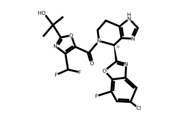 CC(C)(O)c1nc(C(F)F)c(C(=O)N2CCc3[nH]cnc3[C@H]2c2nc3cc(Cl)cc(F)c3o2)o1